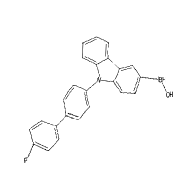 OBc1ccc2c(c1)c1ccccc1n2-c1ccc(-c2ccc(F)cc2)cc1